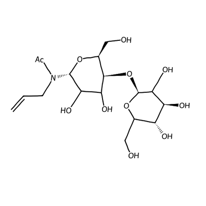 C=CCN(C(C)=O)[C@@H]1O[C@@H](CO)[C@@H](O[C@@H]2OC(CO)[C@@H](O)[C@H](O)C2O)C(O)C1O